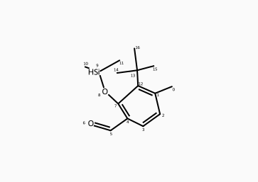 Cc1ccc(C=O)c(O[SiH](C)C)c1C(C)(C)C